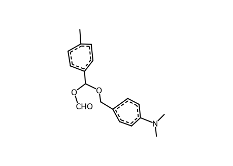 Cc1ccc(C(OC=O)OCc2ccc(N(C)C)cc2)cc1